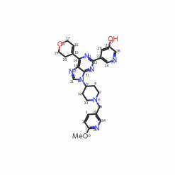 COc1ccc(CN2CCC(n3cnc4c(C5=CCOCC5)nc(-c5cncc(O)c5)nc43)CC2)cn1